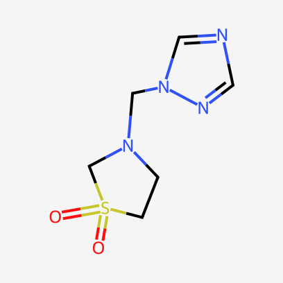 O=S1(=O)CCN(Cn2cncn2)C1